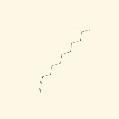 CCCC(CC)CCCCCCCC=C=O